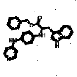 O=C(OCc1ccccc1)C(Cc1c[nH]c2ccccc12)Nc1ccc(Nc2ccncc2)cc1